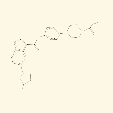 C=C(CO)N1CCN(c2ccc(NC(=O)c3cnn4ccc(N5CCC(F)C5)nc34)cc2)CC1